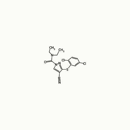 CCN(CC)C(=O)n1cc(C#N)c(Sc2cc(Cl)ccc2Cl)n1